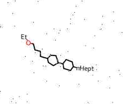 CCCCCCCC1CCC(C2CCC(CCCCOCC)CC2)CC1